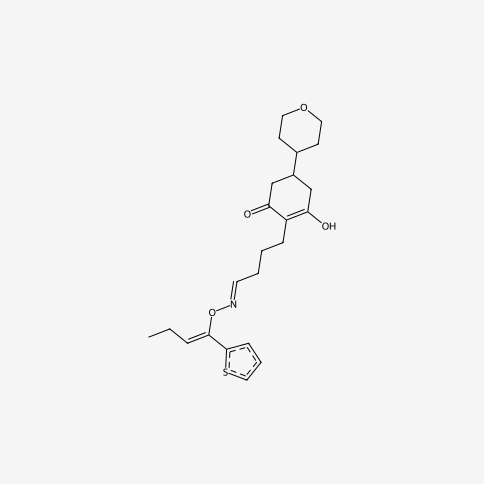 CC/C=C(\ON=CCCCC1=C(O)CC(C2CCOCC2)CC1=O)c1cccs1